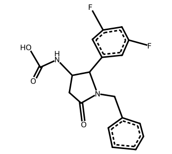 O=C(O)NC1CC(=O)N(Cc2ccccc2)C1c1cc(F)cc(F)c1